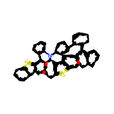 c1ccc(-c2cccc3ccccc23)c(-c2ccc(N(c3ccccc3-c3cccc4c3sc3ccccc34)c3cccc4sc5ccccc5c34)cc2)c1